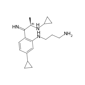 C[C@@H](NC1CC1)C(=N)c1ccc(C2CC2)cc1NCCCN